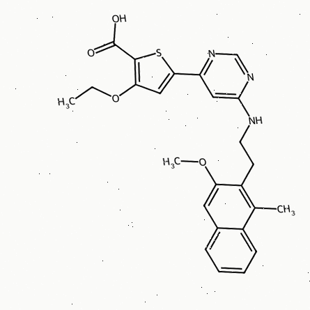 CCOc1cc(-c2cc(NCCc3c(OC)cc4ccccc4c3C)ncn2)sc1C(=O)O